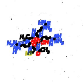 CC(=O)N[C@H](CS)C(=O)N[C@H](CCCNC(=N)N)C(=O)N[C@H](C)C(=O)N[C@H](CCCNC(=N)N)C(=O)N[C@H](CCCNC(=N)N)C(=O)O